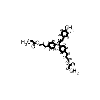 C=CC(=O)OCCCc1ccc(N(N=Cc2ccc(C)cc2)c2ccc(CCCOC(=O)C=C)cc2)cc1